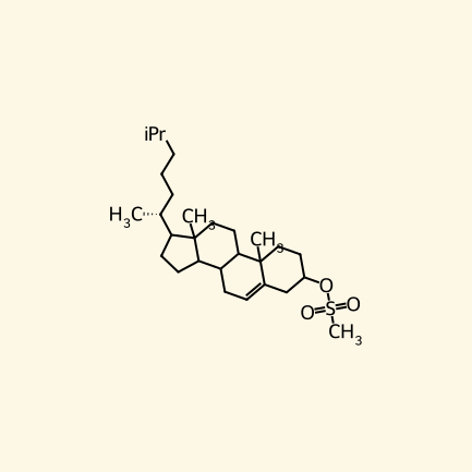 CC(C)CCC[C@@H](C)C1CCC2C3CC=C4CC(OS(C)(=O)=O)CCC4(C)C3CCC21C